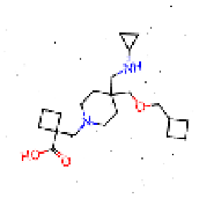 O=C(O)C1(CN2CCC(CNC3CC3)(COCC3CCC3)CC2)CCC1